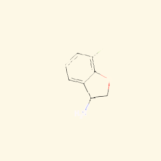 Cl.NC1COc2c(F)cccc21